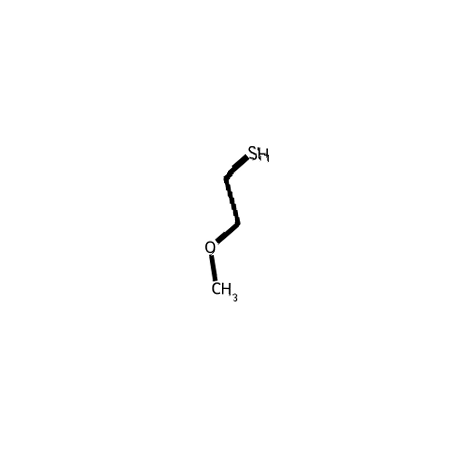 COCCS